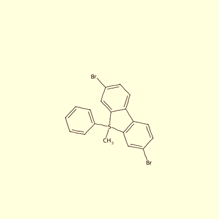 CS1(c2ccccc2)c2cc(Br)ccc2-c2ccc(Br)cc21